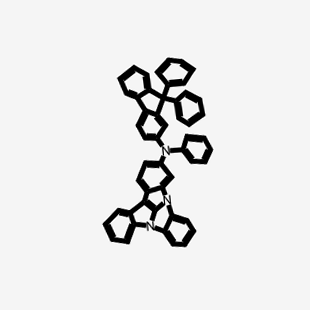 c1ccc(N(c2ccc3c(c2)C(c2ccccc2)(c2ccccc2)c2ccccc2-3)c2ccc3c4c5ccccc5n5c6ccccc6n(c3c2)c45)cc1